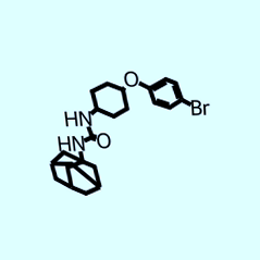 O=C(NC1CCC(Oc2ccc(Br)cc2)CC1)NC12CC3CC(CC(C3)C1)C2